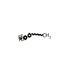 CCCCCCCCCC[C@H]1CC[C@H](c2ccc(OC(F)(F)F)cc2)CC1